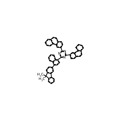 CC1(C)c2ccccc2-c2cc(-c3ccc(-c4nc(-c5ccc6ccc7ccccc7c6c5)nc(-c5ccc6ccc7ccccc7c6c5)n4)c4ccccc34)ccc21